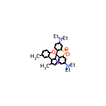 CCN(CC)c1ccc2c(c1)S(=O)(=O)c1cc(N(CC)CC)ccc1C21Oc2ccc(C)cc2-c2c(C)c3ccccn3c21